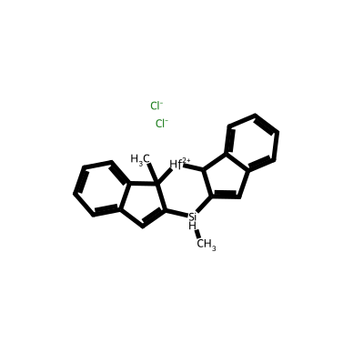 C[SiH]1C2=Cc3ccccc3[CH]2[Hf+2][C]2(C)C1=Cc1ccccc12.[Cl-].[Cl-]